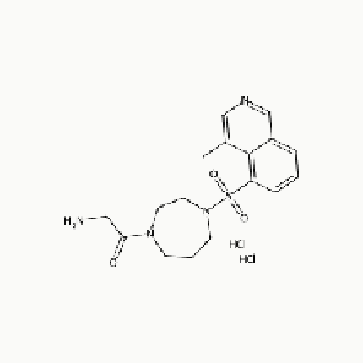 Cc1cncc2cccc(S(=O)(=O)N3CCCN(C(=O)CN)CC3)c12.Cl.Cl